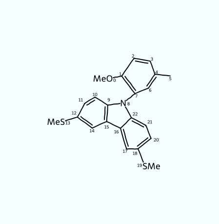 COc1ccc(C)cc1-n1c2ccc(SC)cc2c2cc(SC)ccc21